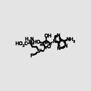 Nc1ncnc2c1ncn2[C@@H]1O[C@H](C[S+](CF)CC[C@H](N)C(=O)O)[C@@H](O)[C@H]1O